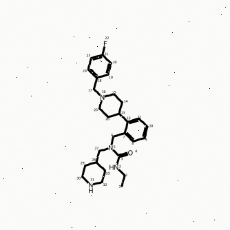 CCNC(=O)N(Cc1ccccc1C1CCN(Cc2ccc(F)cc2)CC1)CC1CCNCC1